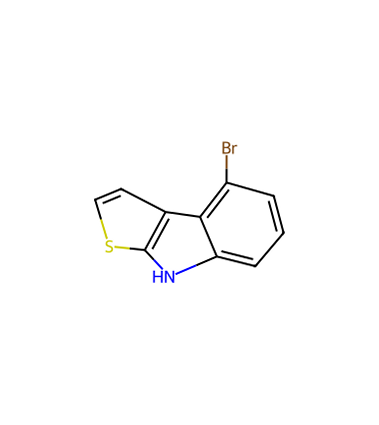 Brc1cccc2[nH]c3sccc3c12